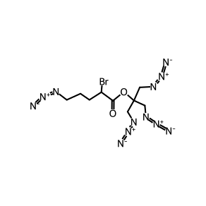 [N-]=[N+]=NCCCC(Br)C(=O)OC(CN=[N+]=[N-])(CN=[N+]=[N-])CN=[N+]=[N-]